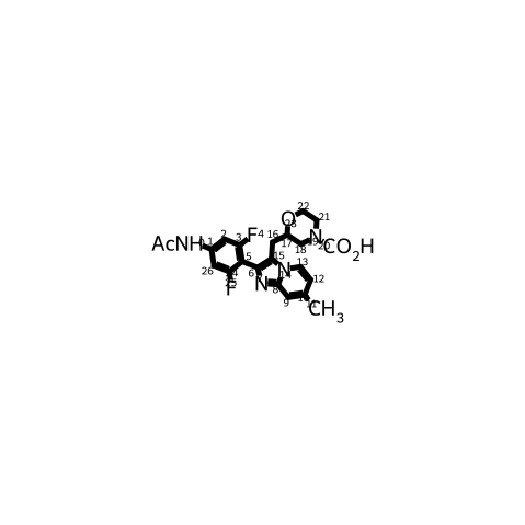 CC(=O)Nc1cc(F)c(-c2nc3cc(C)ccn3c2CC2CN(C(=O)O)CCO2)c(F)c1